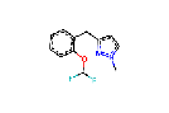 Cn1ccc(Cc2ccccc2OC(F)F)n1